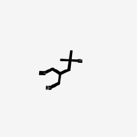 CCC(C)(C)CC(CO)CO